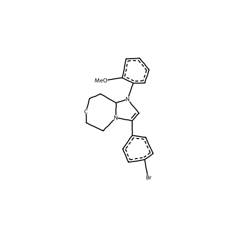 COc1ccccc1N1C=C(c2ccc(Br)cc2)N2CCCCCC21